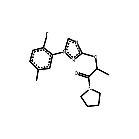 Cc1ccc(F)c(-n2cnc(OC(C)C(=O)N3CCCC3)n2)c1